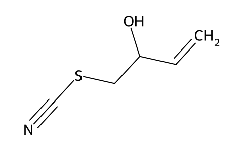 C=CC(O)CSC#N